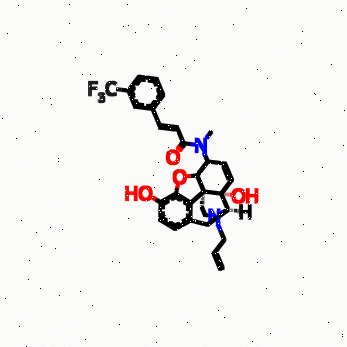 C=CCN1CC[C@]23c4c5ccc(O)c4OC2C(N(C)C(=O)/C=C/c2cccc(C(F)(F)F)c2)C=C[C@@]3(O)[C@H]1C5